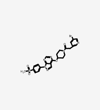 CS(=O)(=O)c1ccc(-n2ncc3c(OC4CCN(C(=O)Cc5cncc(Br)c5)CC4)ncnc32)cc1